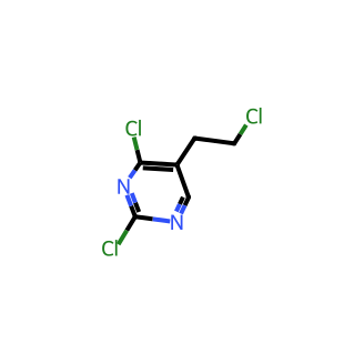 ClCCc1cnc(Cl)nc1Cl